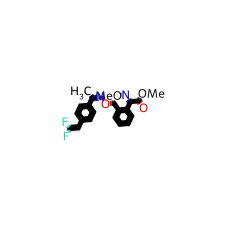 CO/N=C(/C(=O)OC)c1ccccc1CON=C(C)c1ccc(C=C(F)F)cc1